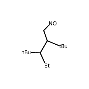 CCCCC(CC)C(CN=O)C(C)(C)C